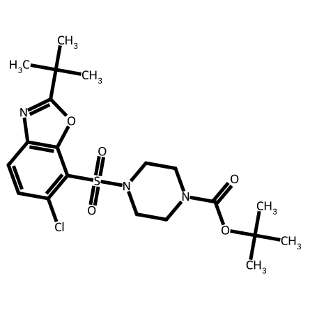 CC(C)(C)OC(=O)N1CCN(S(=O)(=O)c2c(Cl)ccc3nc(C(C)(C)C)oc23)CC1